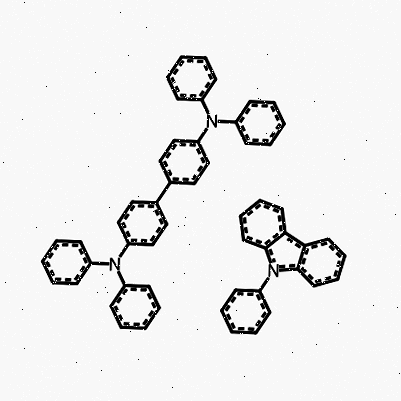 c1ccc(-n2c3ccccc3c3ccccc32)cc1.c1ccc(N(c2ccccc2)c2ccc(-c3ccc(N(c4ccccc4)c4ccccc4)cc3)cc2)cc1